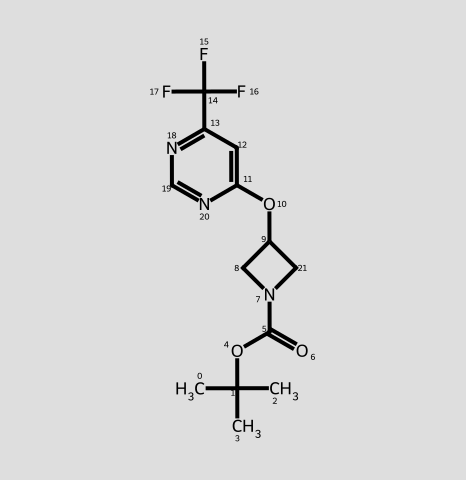 CC(C)(C)OC(=O)N1CC(Oc2cc(C(F)(F)F)ncn2)C1